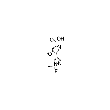 COc1cc(C(=O)O)ncc1-c1cnn(C(F)F)c1